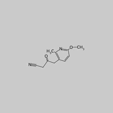 COc1ccc(CC(=O)CC#N)c(C)n1